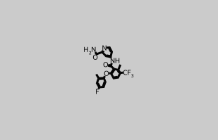 Cc1cc(F)ccc1Oc1ccc(C(F)(F)F)c(C)c1C(=O)Nc1ccnc(C(N)=O)c1